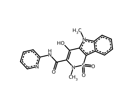 CN1C(C(=O)Nc2ccccn2)=C(O)c2c(c3ccccc3n2C)S1(=O)=O